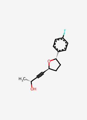 C[C@@H](O)C#C[C@@H]1CC[C@@H](c2ccc(F)cc2)O1